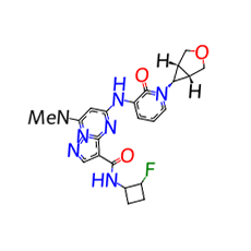 CNc1cc(Nc2cccn([C@H]3[C@@H]4COC[C@@H]43)c2=O)nc2c(C(=O)NC3CCC3F)cnn12